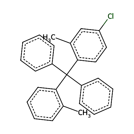 Cc1ccccc1C(c1ccccc1)(c1ccccc1)c1ccc(Cl)cc1C